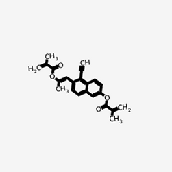 C#Cc1c(/C=C(\C)OC(=O)C(=C)C)ccc2cc(OC(=O)C(=C)C)ccc12